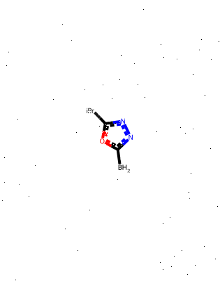 Bc1nnc(C(C)C)o1